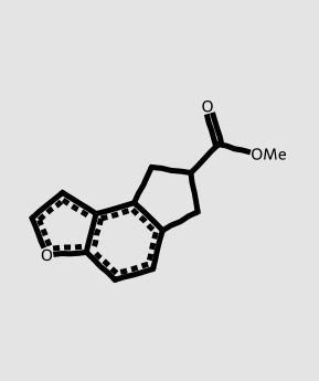 COC(=O)C1Cc2ccc3occc3c2C1